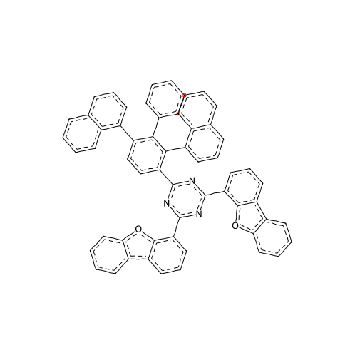 c1ccc(-c2c(-c3cccc4ccccc34)ccc(-c3nc(-c4cccc5c4oc4ccccc45)nc(-c4cccc5c4oc4ccccc45)n3)c2-c2cccc3ccccc23)cc1